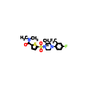 C[C@@H]1CN(c2ccc(F)cc2C(F)(F)F)CCN1S(=O)(=O)c1ccc(C(=O)N(C)C)s1